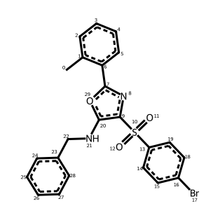 Cc1ccccc1-c1nc(S(=O)(=O)c2ccc(Br)cc2)c(NCc2ccccc2)o1